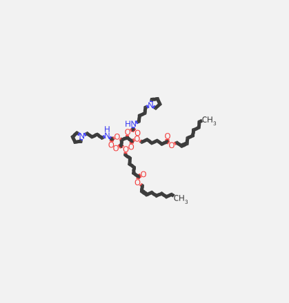 CCCCCC/C=C\COC(=O)CCCCCOC(=O)C(OC(=O)NCCCCN1CCCC1)C(OC(=O)NCCCCN1CCCC1)C(=O)OCCCCCC(=O)OC/C=C\CCCCCC